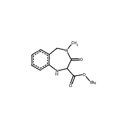 CN1Cc2ccccc2NC(C(=O)OC(C)(C)C)C1=O